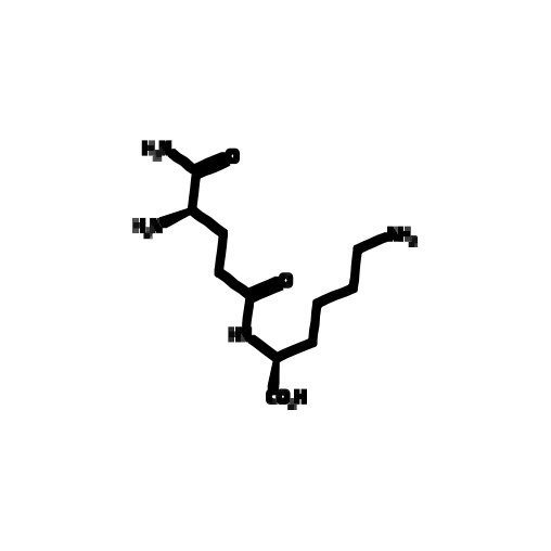 NCCCC[C@H](NC(=O)CC[C@@H](N)C(N)=O)C(=O)O